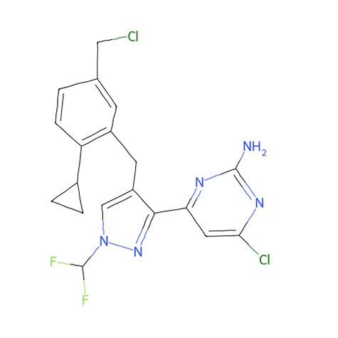 Nc1nc(Cl)cc(-c2nn(C(F)F)cc2Cc2cc(CCl)ccc2C2CC2)n1